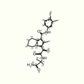 Cc1cc(NC(=O)c2c(C)c(C(=O)C(=O)NC(C)(C)C(N)=O)n3c2CCCC3)ccc1F